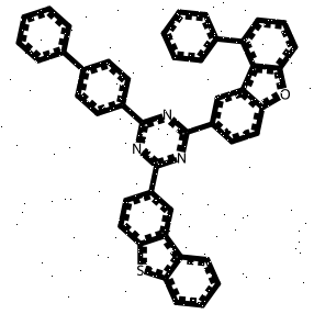 c1ccc(-c2ccc(-c3nc(-c4ccc5sc6ccccc6c5c4)nc(-c4ccc5oc6cccc(-c7ccccc7)c6c5c4)n3)cc2)cc1